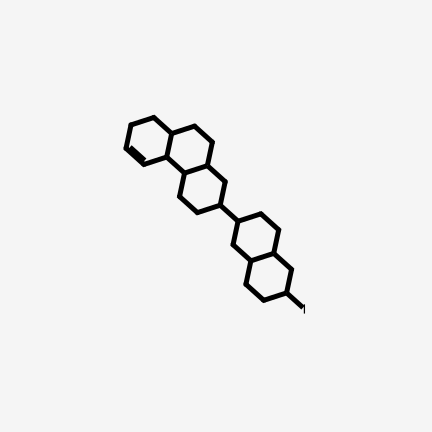 IC1CCC2CC(C3CCC4C(CCC5CCC=CC54)C3)CCC2C1